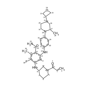 C=CC(=O)N1CCCC(Nc2nc(Nc3ccc(N4CCN(C5COC5)CC4C)cc3)c(C(N)=O)c(C)c2F)C1